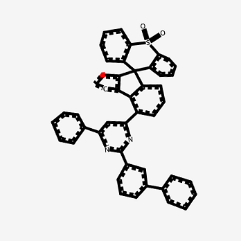 O=S1(=O)c2ccccc2C2(c3ccccc3-c3c(-c4cc(-c5ccccc5)nc(-c5cccc(-c6ccccc6)c5)n4)cccc32)c2ccccc21